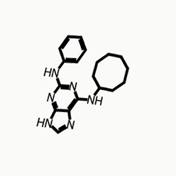 c1ccc(Nc2nc(NC3CCCCCCC3)c3nc[nH]c3n2)cc1